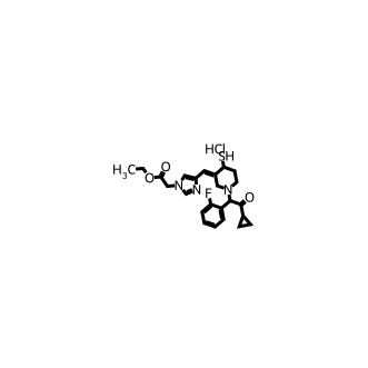 CCOC(=O)Cn1cnc(/C=C2\CN(C(C(=O)C3CC3)c3ccccc3F)CCC2S)c1.Cl